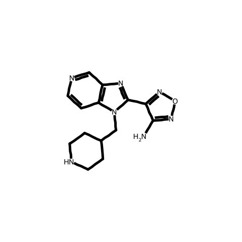 Nc1nonc1-c1nc2cnccc2n1CC1CCNCC1